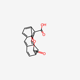 O=C1OC(=O)c2ccc3cc4ccc1cc4cc3c2C(=O)O